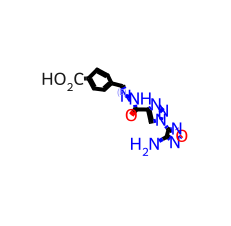 Nc1nonc1-n1cc(C(=O)N/N=C/c2ccc(C(=O)O)cc2)nn1